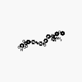 Nc1ncnc2c1c(-c1ccc(Oc3ccccc3)cc1)nn2C1CCCN(C2CCN(C(=O)N3CCN(CCN4CCN(c5ccc6c(c5)C(=O)N(C5CCC(=O)NC5=O)C6=O)CC4)CC3)CC2)C1